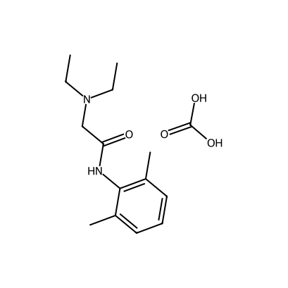 CCN(CC)CC(=O)Nc1c(C)cccc1C.O=C(O)O